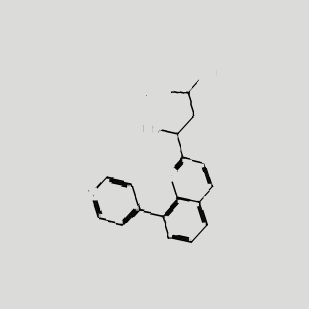 CC(C)CC(N)c1ccc2cccc(-c3ccncc3)c2n1